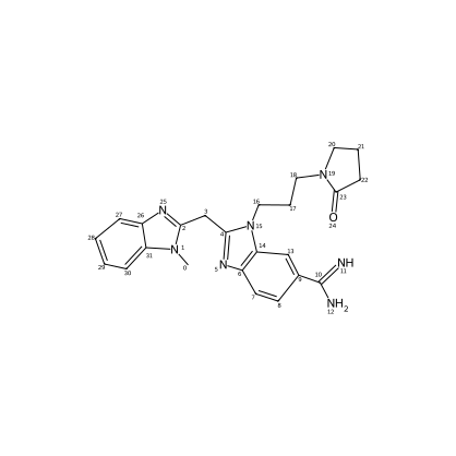 Cn1c(Cc2nc3ccc(C(=N)N)cc3n2CCCN2CCCC2=O)nc2ccccc21